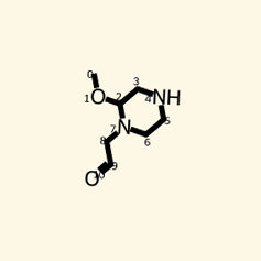 COC1CNCCN1CC=O